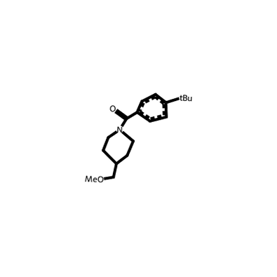 COCC1CCN(C(=O)c2ccc(C(C)(C)C)cc2)CC1